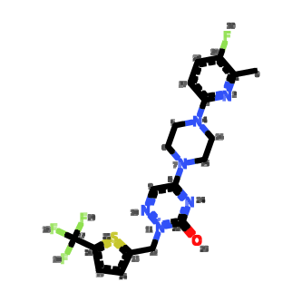 Cc1nc(N2CCN(c3cnn(Cc4ccc(C(F)(F)F)s4)c(=O)n3)CC2)ccc1F